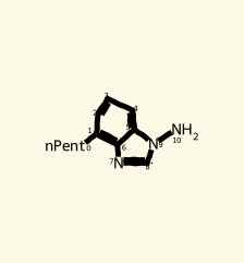 CCCCCc1cccc2c1n[c]n2N